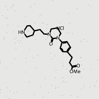 COC(=O)CCc1ccc(N2CCCN(CCC3CCNCC3)C2=O)cc1.Cl